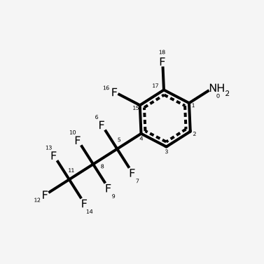 Nc1ccc(C(F)(F)C(F)(F)C(F)(F)F)c(F)c1F